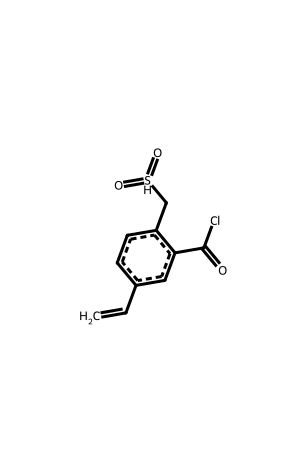 C=Cc1ccc(C[SH](=O)=O)c(C(=O)Cl)c1